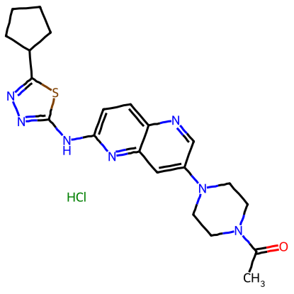 CC(=O)N1CCN(c2cnc3ccc(Nc4nnc(C5CCCC5)s4)nc3c2)CC1.Cl